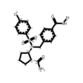 CCNC(=O)c1ccc(CN([C@@H]2CCC[C@H]2C(N)=O)S(=O)(=O)c2ccc(Cl)cc2)cc1